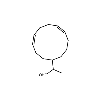 CC(C=O)C1CC/C=C\CC/C=C\CCC1